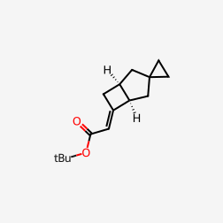 CC(C)(C)OC(=O)C=C1C[C@H]2CC3(CC3)C[C@@H]12